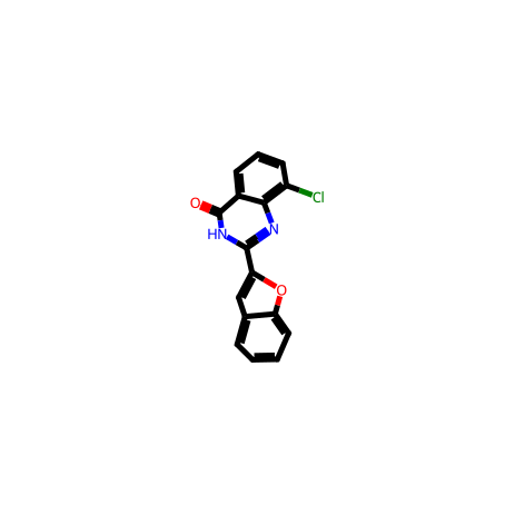 O=c1[nH]c(-c2cc3ccccc3o2)nc2c(Cl)cccc12